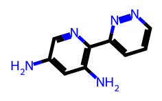 Nc1cnc(-c2cccnn2)c(N)c1